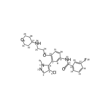 Cn1ncc(Cl)c1-c1cc(NC(=O)c2cccc(F)c2)ccc1OCCNC1CCOCC1